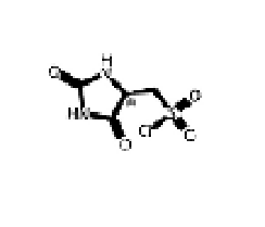 O=C1NC(=O)[C@H](CS(=O)(=O)Cl)N1